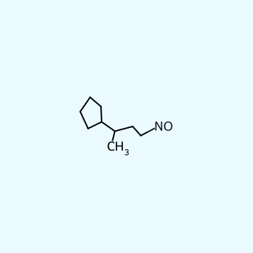 CC(CCN=O)C1CCCC1